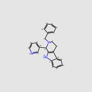 c1ccc(CN2CCc3c([nH]c4ccccc34)C2c2cccnc2)cc1